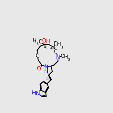 C[C@H]1CN(C)CCC(C/C=C/c2ccc3[nH]ccc3c2)NC(=O)CCCC[C@](C)(O)C1